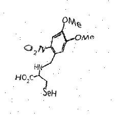 COc1cc(CNC(C[SeH])C(=O)O)c([N+](=O)[O-])cc1OC